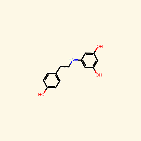 Oc1ccc(CCNc2cc(O)cc(O)c2)cc1